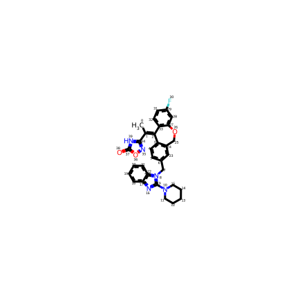 C/C(=C1/c2ccc(Cn3c(N4CCCCC4)nc4ccccc43)cc2COc2cc(F)ccc21)c1noc(=O)[nH]1